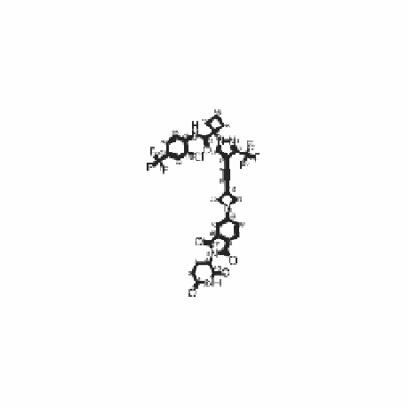 O=C1CCC(N2C(=O)c3ccc(N4CC(C#Cc5cn(C6(C(=O)Nc7ccc(C(F)(F)F)cc7Cl)CCC6)nc5C(F)(F)F)C4)cc3C2=O)C(=O)N1